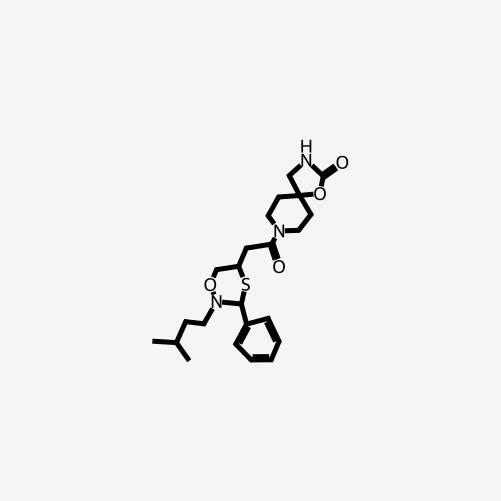 CC(C)CCN1OCC(CC(=O)N2CCC3(CC2)CNC(=O)O3)SC1c1ccccc1